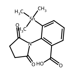 [CH3][Sn]([CH3])([CH3])[c]1cccc(C(=O)O)c1N1C(=O)CCC1=O